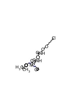 CN(C)c1ccc(/C=C2N=C(/C=C/c3ccco3)N(CC(=O)NC3CCC(C(=O)NCCOCCOCCCCCCCl)CC3)C\2=O)cc1